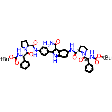 CC(C)(C)OC(=O)N[C@@H](C(=O)N1CCC[C@H]1C(=O)Nc1ccc(-c2[nH]c3ccc(NC(=O)[C@@H]4CCCN4C(=O)[C@H](NC(=O)OC(C)(C)C)c4ccccc4)cc3c2C(N)=O)cc1)c1ccccc1